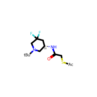 CC(=O)SCC(=O)N[C@@H]1CN(C(C)(C)C)CC(F)(F)C1